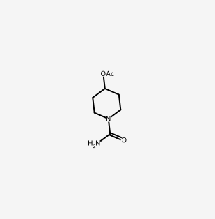 CC(=O)OC1CCN(C(N)=O)CC1